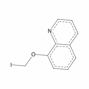 ICOc1cccc2cccnc12